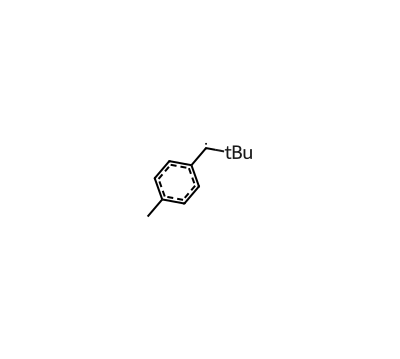 Cc1ccc([CH]C(C)(C)C)cc1